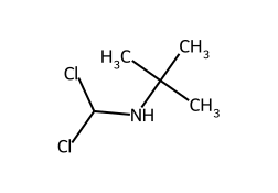 CC(C)(C)NC(Cl)Cl